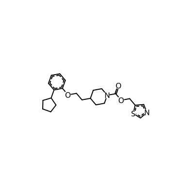 O=C(OCc1cncs1)N1CCC(CCOc2ccccc2C2CCCC2)CC1